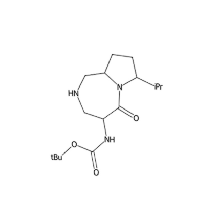 CC(C)C1CCC2CNCC(NC(=O)OC(C)(C)C)C(=O)N21